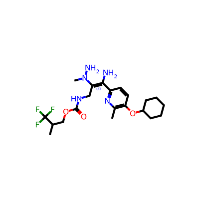 Cc1nc(/C(N)=C(\CNC(=O)OCC(C)C(F)(F)F)N(C)N)ccc1OC1CCCCC1